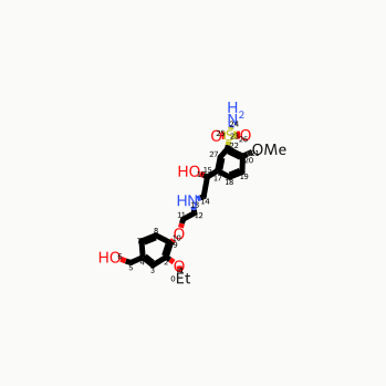 CCOc1cc(CO)ccc1OCCNCC(O)c1ccc(OC)c(S(N)(=O)=O)c1